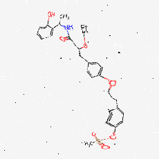 CCO[C@@H](Cc1ccc(OCCc2ccc(OS(C)(=O)=O)cc2)cc1)C(=O)NC(C)c1ccccc1O